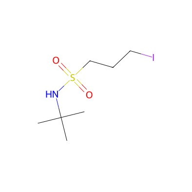 CC(C)(C)NS(=O)(=O)CCCI